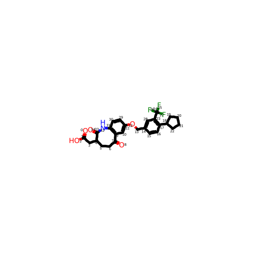 O=C(O)CC1CCC(=O)c2cc(OCc3ccc(C4CCCC4)c(C(F)(F)F)c3)ccc2NC1=O